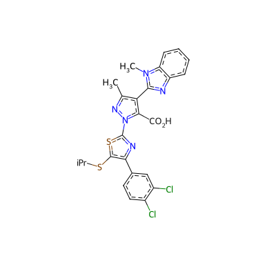 Cc1nn(-c2nc(-c3ccc(Cl)c(Cl)c3)c(SC(C)C)s2)c(C(=O)O)c1-c1nc2ccccc2n1C